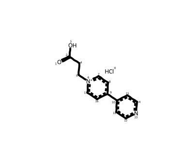 Cl.O=C(O)CC[n+]1ccc(-c2ccncc2)cc1